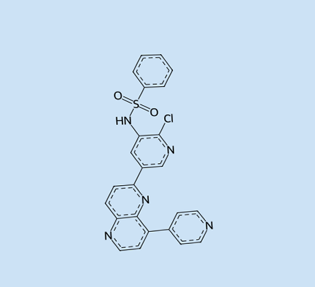 O=S(=O)(Nc1cc(-c2ccc3nccc(-c4ccncc4)c3n2)cnc1Cl)c1ccccc1